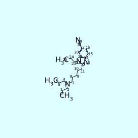 CCCN(CCC)CCCCCc1nc2ccc(C#N)cc2n1CCC